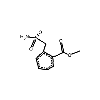 COC(=O)c1ccccc1CS(N)(=O)=O